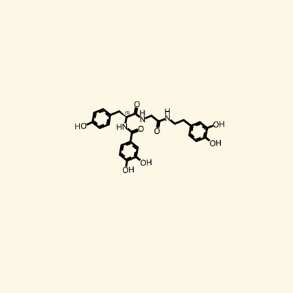 O=C(CNC(=O)[C@H](Cc1ccc(O)cc1)NC(=O)c1ccc(O)c(O)c1)NCCc1ccc(O)c(O)c1